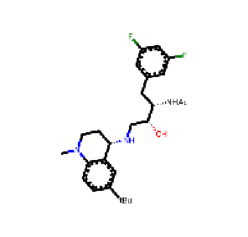 CC(=O)N[C@@H](Cc1cc(F)cc(F)c1)[C@H](O)CN[C@H]1CCN(C)c2ccc(C(C)(C)C)cc21